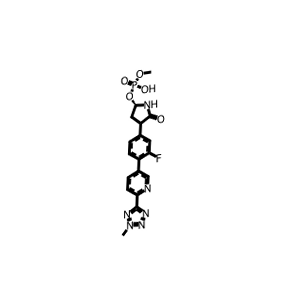 COP(=O)(O)O[C@@H]1CC(c2ccc(-c3ccc(-c4nnn(C)n4)nc3)c(F)c2)C(=O)N1